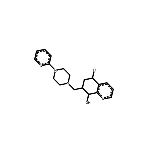 OC1c2ncccc2C(Cl)CC1CN1CCN(c2ccccn2)CC1